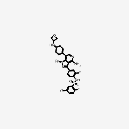 CC(C)n1nc(-c2ccc(NS(=O)(=O)c3cc(Cl)ccc3F)c(F)c2)c2c(N)ncc(C3=CCC(NC4COC4)CC3)c21